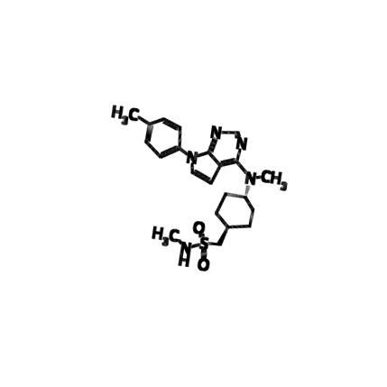 CNS(=O)(=O)C[C@H]1CC[C@H](N(C)c2ncnc3c2ccn3-c2ccc(C)cc2)CC1